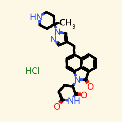 CC1(n2cc(Cc3ccc4c5c(cccc35)C(=O)N4C3CCC(=O)NC3=O)cn2)CCNCC1.Cl